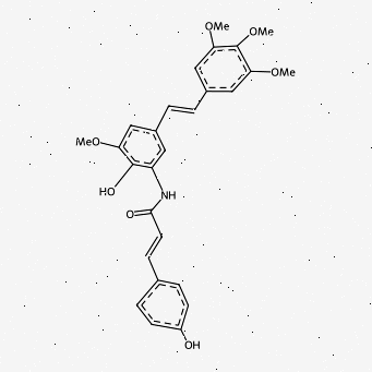 COc1cc(C=Cc2cc(OC)c(OC)c(OC)c2)cc(NC(=O)/C=C/c2ccc(O)cc2)c1O